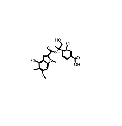 COc1cc2c(cc(C(=O)NC(C)(CO)c3ccc(C(=O)O)cc3Cl)n2C)c(Cl)c1C